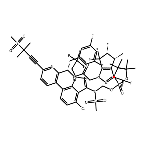 C[C@@H]1c2c(C(F)(F)F)nn(CC(=O)N[C@@H](Cc3cc(F)cc(F)c3)c3nc(C#CC(C)(C)S(C)(=O)=O)ccc3-c3ccc(Cl)c4c(N(COP(=O)(OC(C)(C)C)OC(C)(C)C)S(C)(=O)=O)nn(CC(F)(F)F)c34)c2C(F)(F)[C@@H]1C